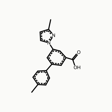 Cc1ccc(-c2cc(C(=O)O)cc(-n3ccc(C)n3)c2)cc1